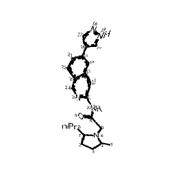 CCCC1CCC(C)N1CC(=O)Nc1cc2cc(-c3cn[nH]c3)ccc2cn1